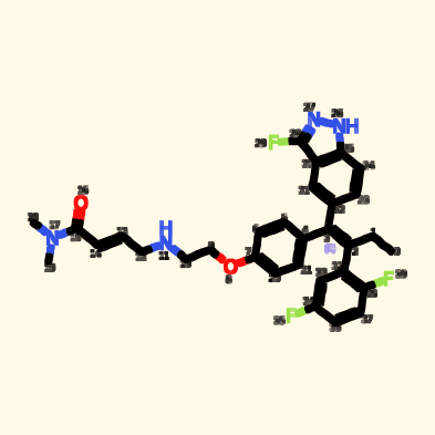 CC/C(=C(/c1ccc(OCCNCC=CC(=O)N(C)C)cc1)c1ccc2[nH]nc(F)c2c1)c1cc(F)ccc1F